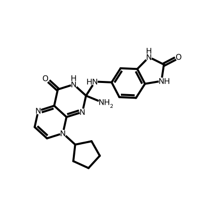 NC1(Nc2ccc3[nH]c(=O)[nH]c3c2)N=C2C(=NC=CN2C2CCCC2)C(=O)N1